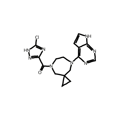 O=C(c1n[nH]c(Cl)n1)N1CCN(c2ncnc3[nH]ccc23)CC2(CC2)C1